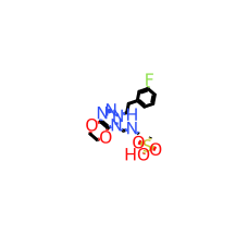 CNCN1C2=C(N=NN1CCc1cccc(F)c1)OCCO2.CS(=O)(=O)O